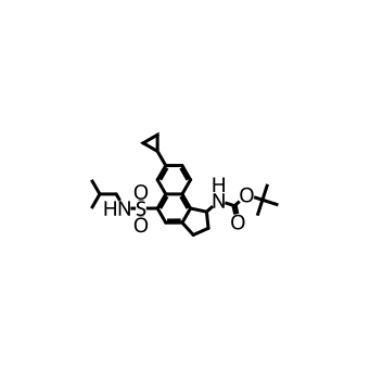 CC(C)CNS(=O)(=O)c1cc2c(c3ccc(C4CC4)cc13)C(NC(=O)OC(C)(C)C)CC2